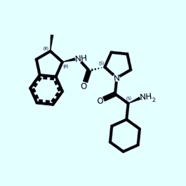 C[C@@H]1Cc2ccccc2[C@@H]1NC(=O)[C@@H]1CCCN1C(=O)[C@@H](N)C1CCCCC1